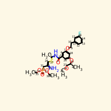 C=C(NC(=O)c1cc(OCCc2cccc(F)c2)cc(O[C@@H](C)COC)c1)S/C=C(\N)CP(=O)(OCC)OCC